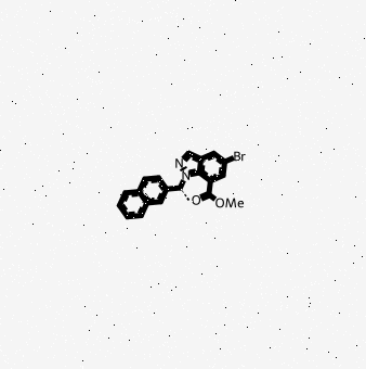 COC(=O)c1cc(Br)cc2cnn([C@H](C)c3ccc4ccccc4c3)c12